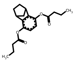 CCCC(=O)Oc1ccc(OC(=O)CCC)c2c1C1CCC2C1